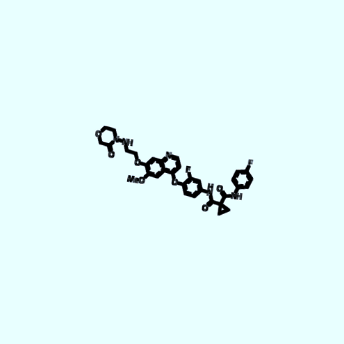 COc1cc2c(Oc3ccc(NC(=O)C4(C(=O)Nc5ccc(F)cc5)CC4)cc3F)ccnc2cc1OCCNN1CCOCC1=O